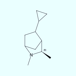 C[C@@H]1C2CC(CC2C2CC2)N1C